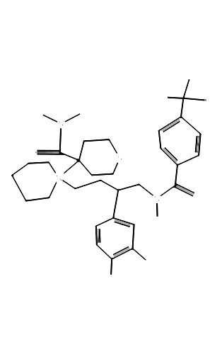 CN(C)C(=O)C1([N+]2(CCC(CN(C)C(=O)c3ccc(C(F)(F)F)cc3)c3ccc(Cl)c(Cl)c3)CCCCC2)CCNCC1